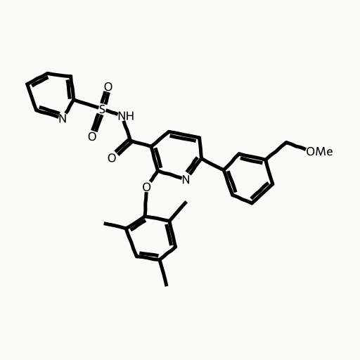 COCc1cccc(-c2ccc(C(=O)NS(=O)(=O)c3ccccn3)c(Oc3c(C)cc(C)cc3C)n2)c1